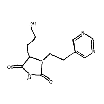 O=C1NC(=O)N(CCc2cncnc2)C1CCO